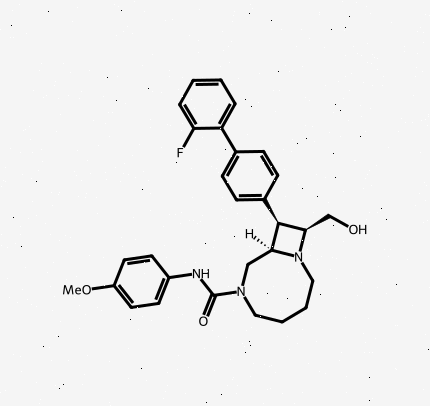 COc1ccc(NC(=O)N2CCCCN3[C@H](CO)[C@H](c4ccc(-c5ccccc5F)cc4)[C@@H]3C2)cc1